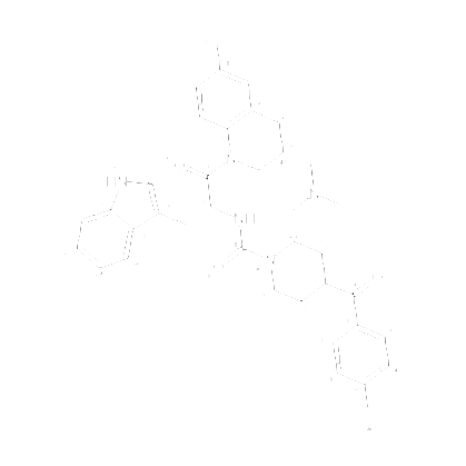 CN(C)C[C@H]1Cc2cc(Cl)ccc2N(C(=O)[C@@H](Cc2c[nH]c3ccccc23)NC(=O)N2CCC(C(=O)c3ccc(Cl)cc3)CC2)C1